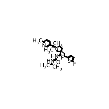 Cc1ccc(C(C)(C)N2CC[C@@](CCc3ccc(F)s3)([C@@H](F)NC(=O)NC(C)C)C2)cn1